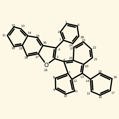 c1ccc(-c2c(-c3c4ccccc4c(-c4ccccc4)c4ccccc34)oc3cc4ccccc4cc23)cc1